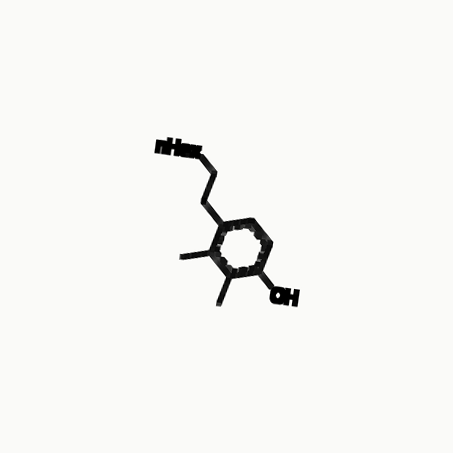 CCCCCCCCc1ccc(O)c(C)c1C